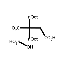 CCCCCCCCC(CCCCCCCC)(CC(=O)O)C(=O)O.O=S(=O)(O)O